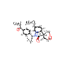 COC(=O)c1ccc(C(C)NC(=O)C2(c3ccc(OC)cc3)CCOCC2)cc1